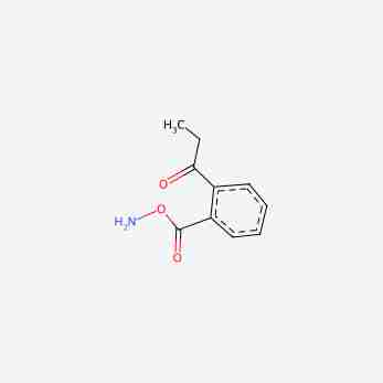 CCC(=O)c1ccccc1C(=O)ON